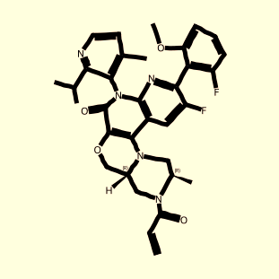 C=CC(=O)N1C[C@@H]2COc3c(c4cc(F)c(-c5c(F)cccc5OC)nc4n(-c4c(C)ccnc4C(C)C)c3=O)N2C[C@H]1C